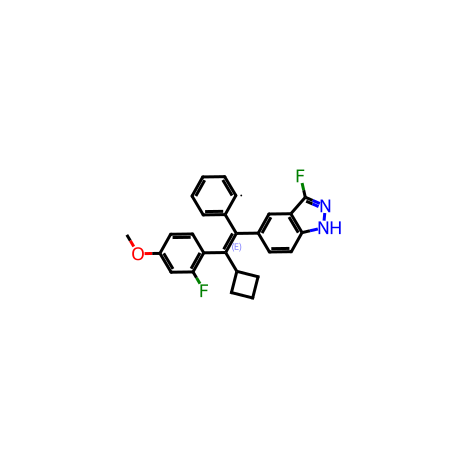 COc1ccc(/C(=C(\c2[c]cccc2)c2ccc3[nH]nc(F)c3c2)C2CCC2)c(F)c1